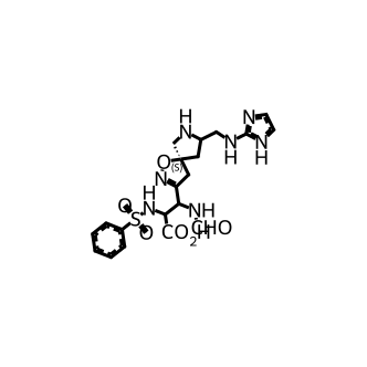 O=CNC(C1=NO[C@]2(CNC(CNc3ncc[nH]3)C2)C1)C(NS(=O)(=O)c1ccccc1)C(=O)O